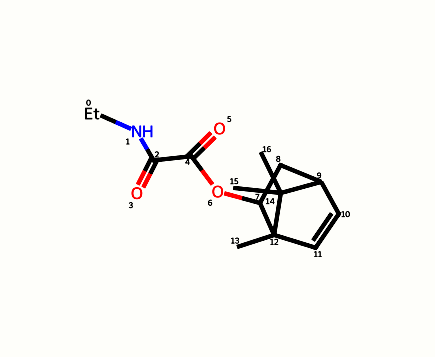 CCNC(=O)C(=O)OC1CC2C=CC1(C)C2(C)C